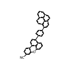 N#Cc1ccc2c(c1)Oc1cccc3c(-c4ccc(-c5ccc6ccc7cccc8ccc5c6c78)cc4)ccc-2c13